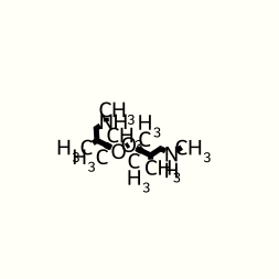 CNCC(C)C(C)(C)OOC(C)(C)C(C)CNC